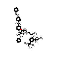 CCC(C)(C)c1ccc(OC(C)CCNCC(C)(C)C(=O)C(Cl)(Oc2ccc(S(=O)(=O)c3ccc(OCc4ccccc4)cc3)cc2)C(=O)Nc2ccccc2)c(C(C)(C)CC)c1